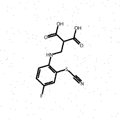 N#CSc1cc(F)ccc1NCC(C(=O)O)C(=O)O